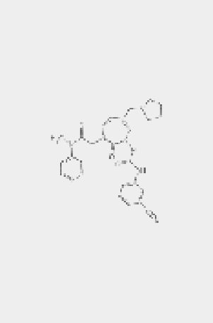 CN(C(=O)CN1C=CC(CN2CCCC2)=NC(NC(=O)Nc2cccc(C#N)c2)C1=O)c1ccccc1